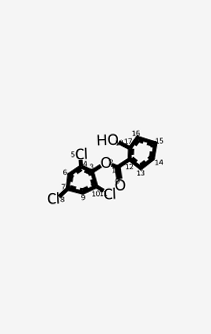 O=C(Oc1c(Cl)cc(Cl)cc1Cl)c1ccccc1O